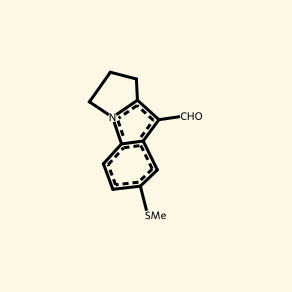 CSc1ccc2c(c1)c(C=O)c1n2CCC1